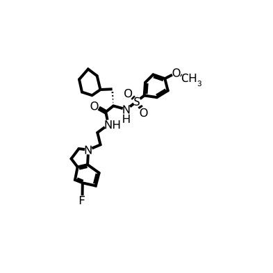 COc1ccc(S(=O)(=O)N[C@@H](CC2CCCCC2)C(=O)NCCN2CCc3cc(F)ccc32)cc1